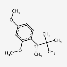 COc1ccc([C@@H](C)C(C)(C)C)c(OC)c1